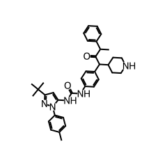 Cc1ccc(-n2nc(C(C)(C)C)cc2NC(=O)Nc2ccc(C(C(=O)C(C)c3ccccc3)C3CCNCC3)cc2)cc1